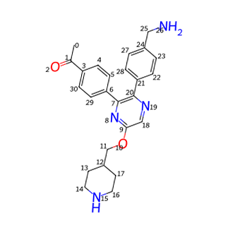 CC(=O)c1ccc(-c2nc(OCC3CCNCC3)cnc2-c2ccc(CN)cc2)cc1